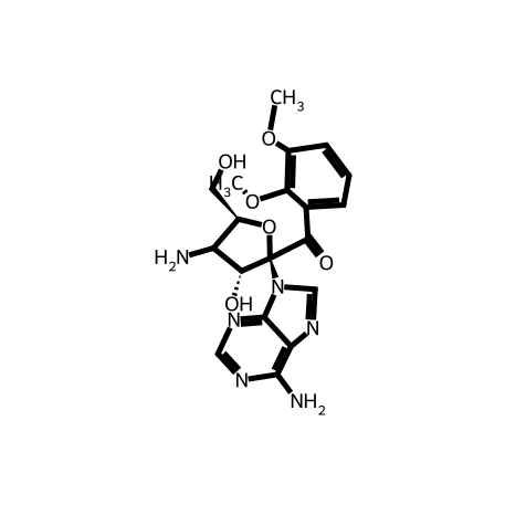 COc1cccc(C(=O)[C@@]2(n3cnc4c(N)ncnc43)O[C@H](CO)C(N)[C@H]2O)c1OC